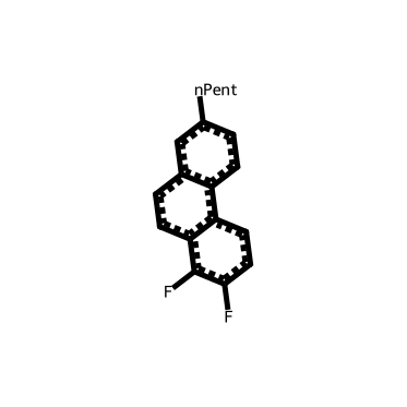 CCCCCc1ccc2c(ccc3c(F)c(F)ccc32)c1